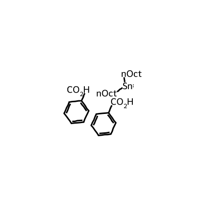 CCCCCCC[CH2][Sn][CH2]CCCCCCC.O=C(O)c1ccccc1.O=C(O)c1ccccc1